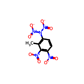 Cc1c(N([N+](=O)[O-])[N+](=O)[O-])ccc([N+](=O)[O-])c1[N+](=O)[O-]